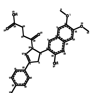 COc1cc2cc(C3CC(c4ccc(C)cc4)=NN3C(=O)CCC(=O)O)c(O)nc2cc1OC